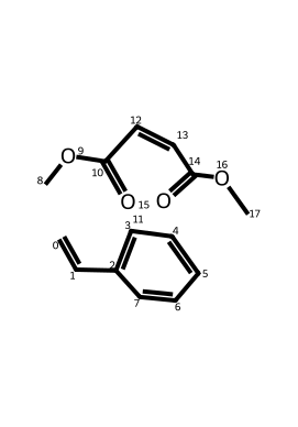 C=Cc1ccccc1.COC(=O)/C=C\C(=O)OC